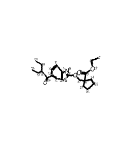 CCOC(=O)C1(COc2nc3ccc(C(=O)C(CC)CC)cc3s2)CCCC1